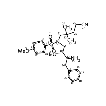 COc1ccc(S(=O)(=O)N(C[C@@H](O)C(N)Cc2ccccc2)CC(C)(C)CCC#N)cc1